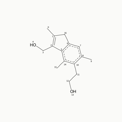 CC1=C(CO)c2c(cc(C)c(CCO)c2C)C1